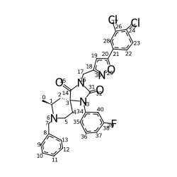 C[C@H]1C[C@]2(CCN1Cc1ccccc1)C(=O)N(Cc1cc(-c3ccc(Cl)c(Cl)c3)on1)C(=O)N2c1cccc(F)c1